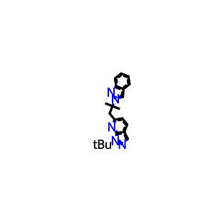 CC(C)(C)n1ncc2ccc(CC(C)(C)n3cc4ccccc4n3)nc21